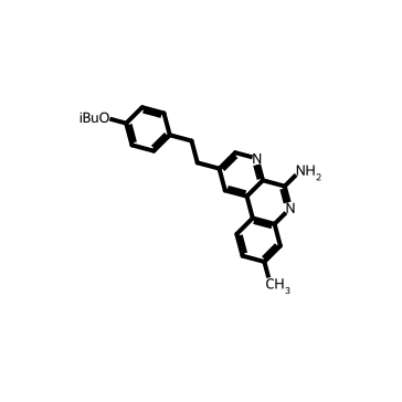 Cc1ccc2c(c1)nc(N)c1ncc(CCc3ccc(OCC(C)C)cc3)cc12